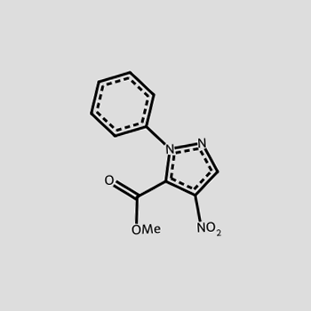 COC(=O)c1c([N+](=O)[O-])cnn1-c1ccccc1